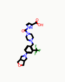 O=C(O)c1ccn(C(=O)N2CCN(Cc3ccc(N4CC5COCC5C4)cc3C(F)(F)F)CC2)n1